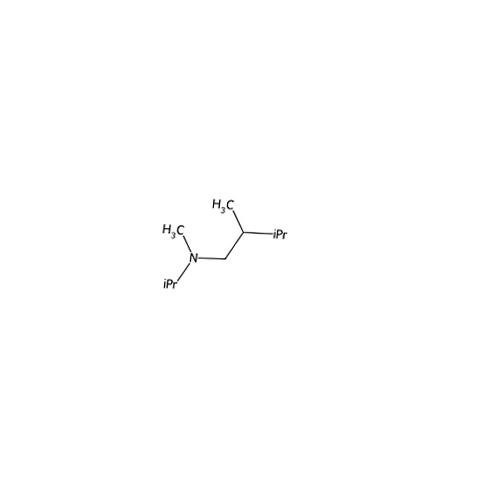 CC(C)C(C)CN(C)C(C)C